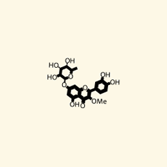 COc1c(-c2ccc(O)c(O)c2)oc2cc(O[C@@H]3OC(C)[C@@H](O)[C@@H](O)C3O)cc(O)c2c1=O